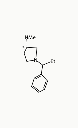 CCC(c1ccccc1)N1CC[C@H](NC)C1